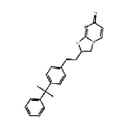 CC(C)(c1ccccc1)c1ccc(CCC2Cn3ccc(=O)nc3O2)cc1